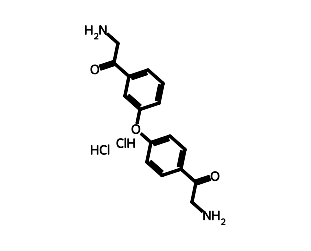 Cl.Cl.NCC(=O)c1ccc(Oc2cccc(C(=O)CN)c2)cc1